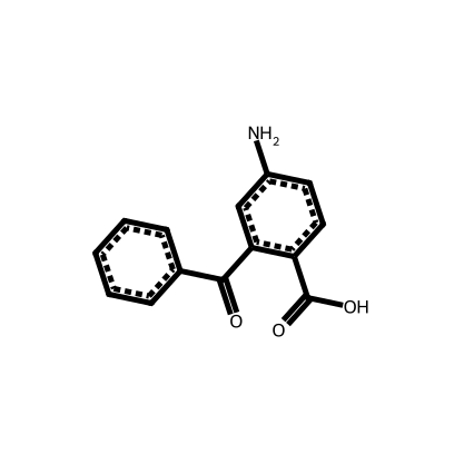 Nc1ccc(C(=O)O)c(C(=O)c2ccccc2)c1